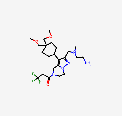 COCC1(COC)CCC(c2c(CN(C)CCN)nn3c2CN(C(=O)CC(F)(F)F)CC3)CC1